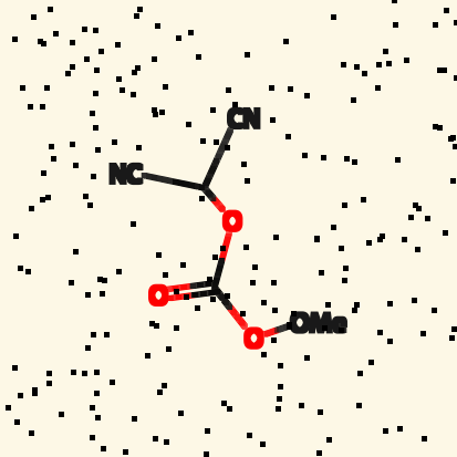 COOC(=O)OC(C#N)C#N